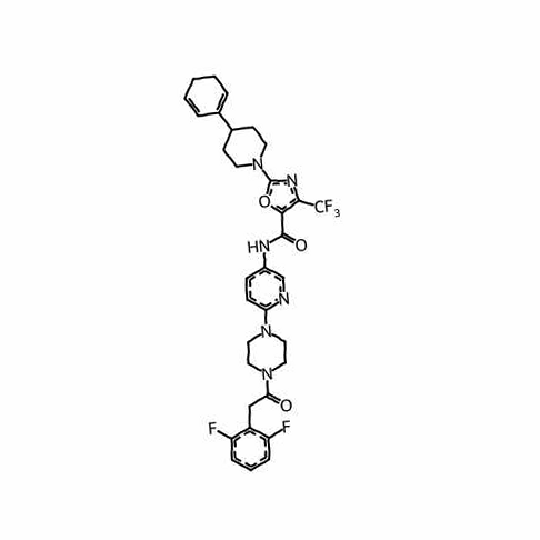 O=C(Nc1ccc(N2CCN(C(=O)Cc3c(F)cccc3F)CC2)nc1)c1oc(N2CCC(C3=CCCC=C3)CC2)nc1C(F)(F)F